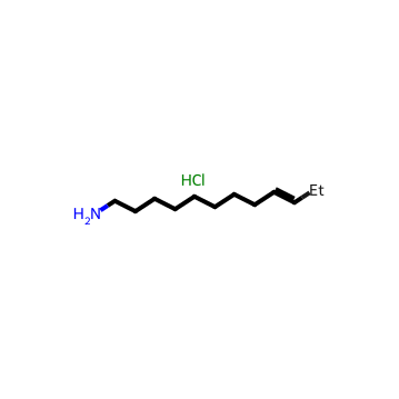 CCC=CCCCCCCCCN.Cl